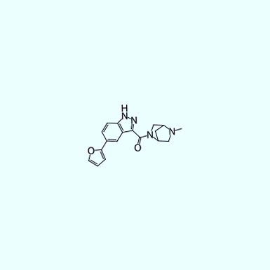 CN1CC2CC1CN2C(=O)c1n[nH]c2ccc(-c3ccco3)cc12